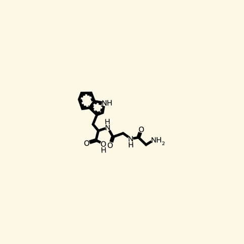 NCC(=O)NCC(=O)NC(Cc1c[nH]c2ccccc12)C(=O)O